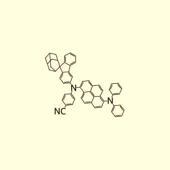 N#Cc1ccc(N(c2ccc3c(c2)-c2ccccc2C32C3CC4CC(C3)CC2C4)c2ccc3ccc4c(N(c5ccccc5)c5ccccc5)ccc5ccc2c3c54)cc1